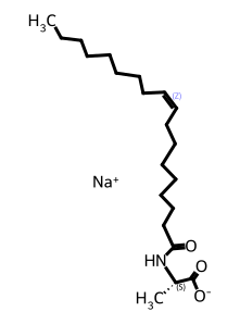 CCCCCCCC/C=C\CCCCCCCC(=O)N[C@@H](C)C(=O)[O-].[Na+]